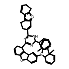 CC1C=CC=CC1C1N=C(C2CC=CC3=C2C2C=C(N4C5C=CC=CC5C5(C)C=CC=CC45)C=CC2O3)N=C(C2=Cc3oc4c(c3CC2)C=CCC4)N1